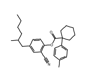 CCCCC(C)Cc1ccc(OC(=O)C2(c3ccc(C)cc3)CCCCC2)c(C#N)c1